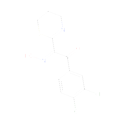 O=C(/C(=N/O)C1=NCCCS1)c1ccc(Cl)c(Cl)c1